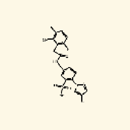 CCc1cnn(-c2ccc(NC(=O)Cc3c(F)ccc(C)c3Cl)cc2S(N)(=O)=O)c1